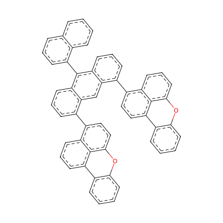 c1ccc2c(c1)Oc1ccc(-c3cccc4c(-c5cccc6ccccc56)c5cccc(-c6ccc7c8c(cccc68)Oc6ccccc6-7)c5cc34)c3cccc-2c13